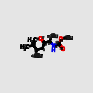 C=C(C)C(CCCC)CC(=O)C(NC(=O)OC(C)(C)C)C(C)(C)C